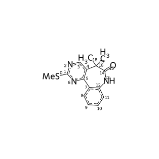 CSc1ncc2c(n1)-c1ccccc1NC(=O)C2(C)C